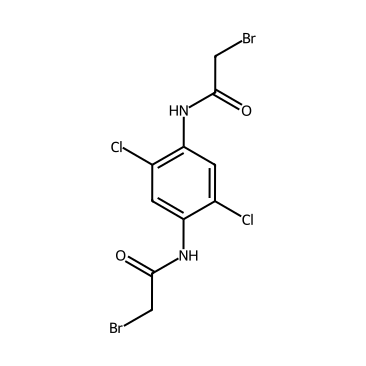 O=C(CBr)Nc1cc(Cl)c(NC(=O)CBr)cc1Cl